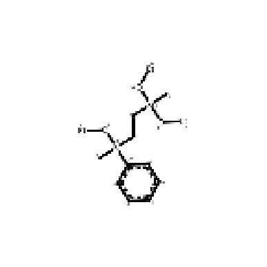 CCO[Si](C)(CC[Si](C)(OCC)c1ccccc1)OCC